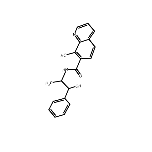 CC(NC(=O)c1ccc2cccnc2c1O)C(O)c1ccccc1